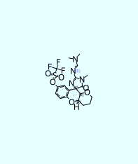 CN(C)/C=N/C1=N[C@@]2(C(=O)N1C)c1cc(OS(=O)(=O)C(F)(F)F)ccc1O[C@H]1CCCO[C@@]12C